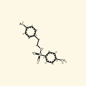 CC(=O)c1ccc(CCOS(=O)(=O)c2ccc(C)cc2)cc1